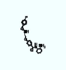 Nc1ccccc1NC(=O)c1ccc(OCCNC2CC2c2ccc(F)cc2)cc1